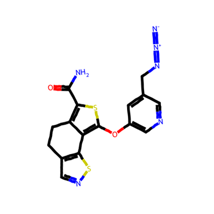 [N-]=[N+]=NCc1cncc(Oc2sc(C(N)=O)c3c2-c2sncc2CC3)c1